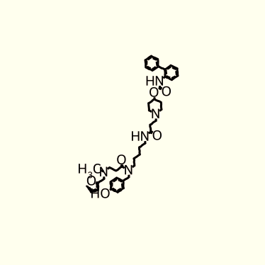 CN(CCC(=O)N(CCCCCNC(=O)CCN1CCC(OC(=O)Nc2ccccc2-c2ccccc2)CC1)Cc1ccc(O)cc1)Cc1ccco1